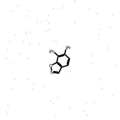 CC(C)c1ccc2cnoc2c1C(C)C